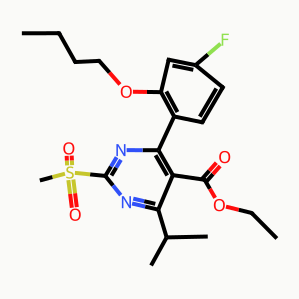 CCCCOc1cc(F)ccc1-c1nc(S(C)(=O)=O)nc(C(C)C)c1C(=O)OCC